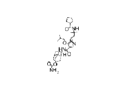 CC(C)COc1c(C(=O)N[C@H]2C3CC4CC2C[C@](OC(N)=O)(C4)C3)cnn1/C=C/C(C)(C)NC(=O)C1CCCC1